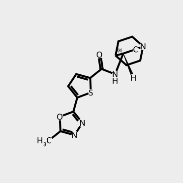 Cc1nnc(-c2ccc(C(=O)N[C@H]3CN4CCC3CC4)s2)o1